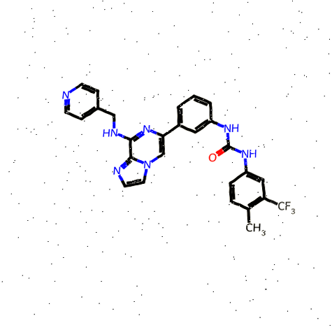 Cc1ccc(NC(=O)Nc2cccc(-c3cn4ccnc4c(NCc4ccncc4)n3)c2)cc1C(F)(F)F